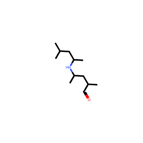 CC(C)CC(C)NC(C)CC(C)C=O